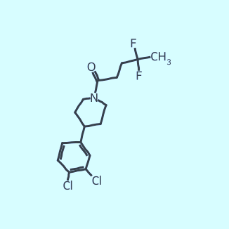 CC(F)(F)CCC(=O)N1CCC(c2ccc(Cl)c(Cl)c2)CC1